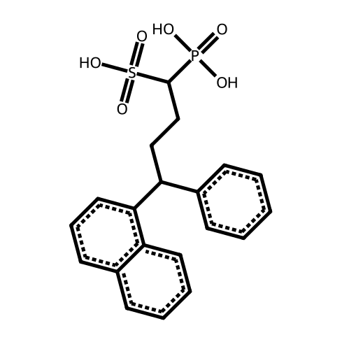 O=P(O)(O)C(CCC(c1ccccc1)c1cccc2ccccc12)S(=O)(=O)O